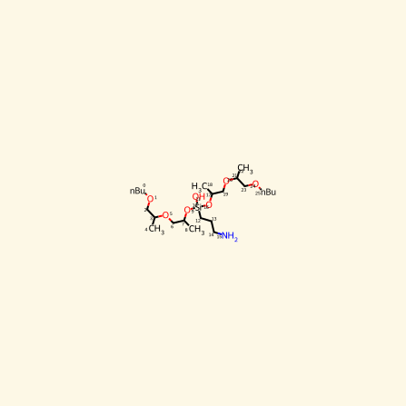 CCCCOCC(C)OCC(C)O[Si](O)(CCCN)OC(C)COC(C)COCCCC